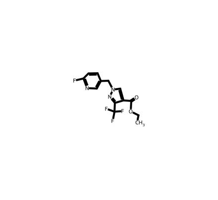 CCOC(=O)c1cn(Cc2ccc(F)nc2)nc1C(F)(F)F